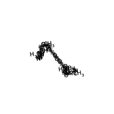 Cc1ncsc1-c1ccc(CNC(=O)[C@@H]2CCCN2C(=O)[C@@H](NC(=O)CCCCCOCCOCCOCCCCCCOc2cccc([C@@H](C)NC(=O)c3cccc(NCc4nnc(-c5ccncn5)n4C)c3)c2)C(C)(C)C)cc1